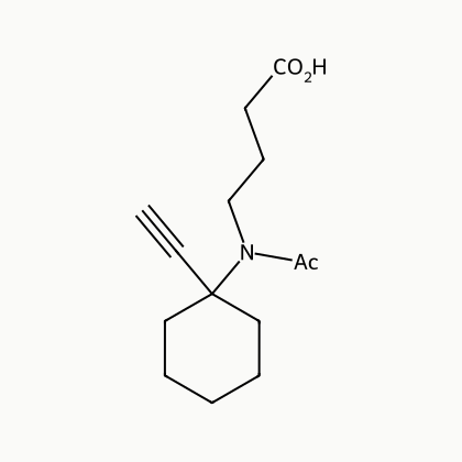 C#CC1(N(CCCC(=O)O)C(C)=O)CCCCC1